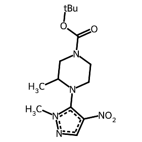 CC1CN(C(=O)OC(C)(C)C)CCN1c1c([N+](=O)[O-])cnn1C